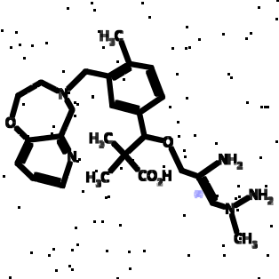 Cc1ccc(C(OC/C(N)=C/N(C)N)C(C)(C)C(=O)O)cc1CN1CCOc2cccnc2C1